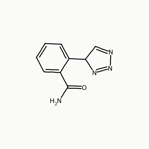 NC(=O)c1ccccc1C1C=NN=N1